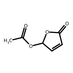 CC(=O)OC1C=CC(=O)O1